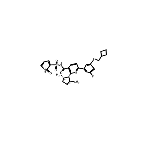 C[C@H]1CC[C@H](C)N1c1nc(-c2cc(F)cc(OCC3CCC3)c2)ccc1C(=O)NS(=O)(=O)c1ccc[nH]c1=O